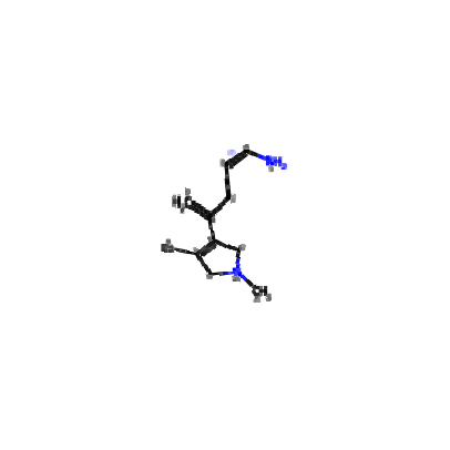 C=C(C/C=C\N)C1=C(CC)CN(C)C1